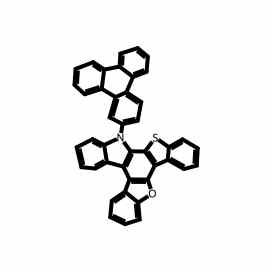 c1ccc2c(c1)oc1c3c4ccccc4sc3c3c(c4ccccc4n3-c3ccc4c5ccccc5c5ccccc5c4c3)c21